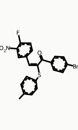 Cc1ccc(SC(=Cc2ccc(F)c([N+](=O)[O-])c2)C(=O)c2ccc(Br)cc2)cc1